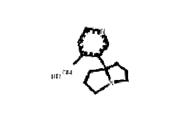 Cc1ccncc1C12CCCN1CCC2.Cl.Cl